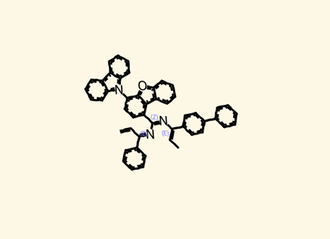 C=C\C(=N/C(=N\C(=C\C)c1ccc(-c2ccccc2)cc1)c1ccc(-n2c3ccccc3c3ccccc32)c2oc3ccccc3c12)c1ccccc1